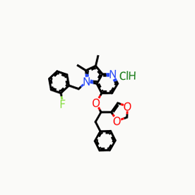 Cc1c(C)n(Cc2ccccc2F)c2c(OC(Cc3ccccc3)C3=COCO3)ccnc12.Cl